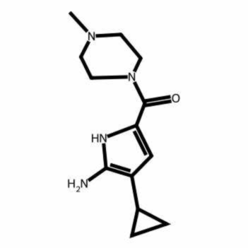 CN1CCN(C(=O)c2cc(C3CC3)c(N)[nH]2)CC1